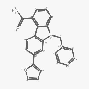 NC(=O)c1cccc2c1c1[c]cc(-c3ccco3)cc1n2Cc1ccncc1